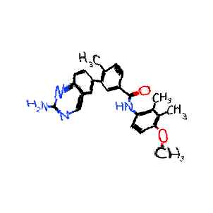 COc1ccc(NC(=O)c2ccc(C)c(-c3ccc4nc(N)ncc4c3)c2)c(C)c1C